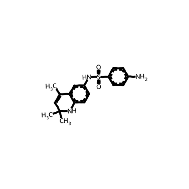 CC1=CC(C)(C)Nc2ccc(NS(=O)(=O)c3ccc(N)cc3)cc21